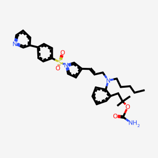 CCCCCN(C/C=C/c1ccn(S(=O)(=O)c2ccc(-c3cccnc3)cc2)c1)c1ccccc1CC(C)(C)OC(N)=O